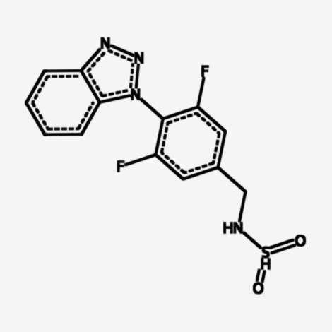 O=[SH](=O)NCc1cc(F)c(-n2nnc3ccccc32)c(F)c1